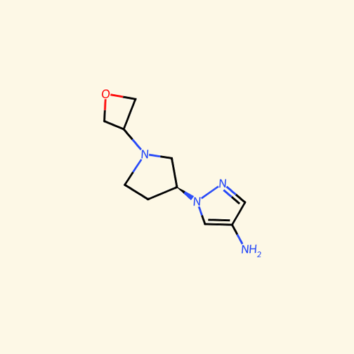 Nc1cnn([C@H]2CCN(C3COC3)C2)c1